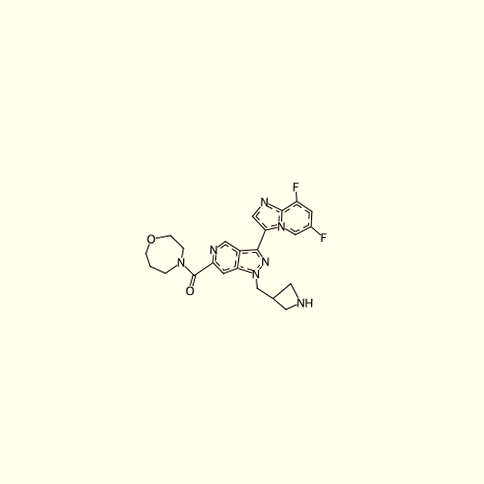 O=C(c1cc2c(cn1)c(-c1cnc3c(F)cc(F)cn13)nn2CC1CNC1)N1CCCOCC1